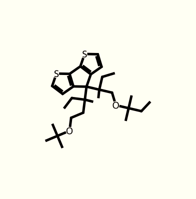 CCC(C)(C)OCC(C)(CC)C1(C(C)(CC)CCOC(C)(C)C)c2ccsc2-c2sccc21